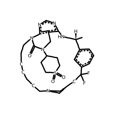 C[C@H]1Nc2ncnc3c2CN(C2CCS(=O)(=O)CC2)C(=O)N3CCCCCCCN2CC(C2)CC(F)(F)c2cccc1c2